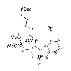 CCCCCCCCCCCCCCCCCC[N+](C)(CCC[Si](OC)(OC)OC)Cc1ccccc1.[Br-]